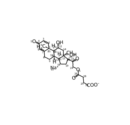 C[C@]12C=CC(=O)C=C1CC[C@@H]1[C@@H]2[C@@H](O)C[C@@]2(C)[C@H]1CC[C@]2(O)C(=O)COC(=O)CCC(=O)[O-].[Na+]